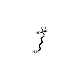 NCCCCOP(=O)(O)O